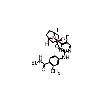 CCNC(=O)c1ccc(Nc2ncc(F)c(N3C[C@@H]4CC[C@@H](C3)N4C(=O)OC(C)(C)C)n2)cc1C